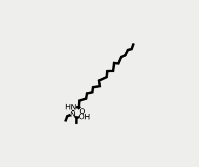 CCCCCCCCCCCCCCCCCC(=O)NN(CC)C(C)O